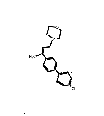 C/C(=C/CN1CCOCC1)c1ccc(-c2ccc(Cl)cc2)cc1